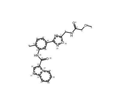 COCC(=O)NCc1nc(-c2ccc(C)c(NC(=O)c3cnc4ccccn34)c2)no1